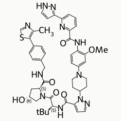 COc1cc(N2CCC(n3nccc3C(=O)N[C@H](C(=O)N3C[C@H](O)C[C@H]3C(=O)NCc3ccc(-c4scnc4C)cc3)C(C)(C)C)CC2)ccc1NC(=O)c1cccc(-c2cc[nH]n2)n1